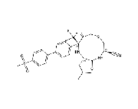 C=C1CSC[C@@H](C#N)NC(=O)[C@H](CC(C)C)N[C@@]1(c1ccc(-c2ccc(S(C)(=O)=O)cc2)cc1)C(F)(F)F